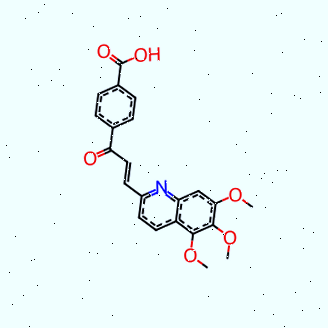 COc1cc2nc(C=CC(=O)c3ccc(C(=O)O)cc3)ccc2c(OC)c1OC